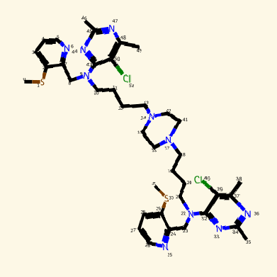 CSc1cccnc1CN(CCCCN1CCN(CCCCN(Cc2ncccc2SC)c2nc(C)nc(C)c2Cl)CC1)c1nc(C)nc(C)c1Cl